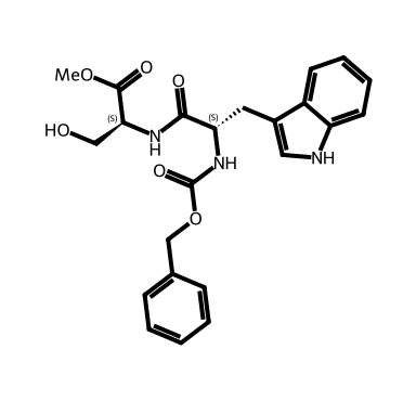 COC(=O)[C@H](CO)NC(=O)[C@H](Cc1c[nH]c2ccccc12)NC(=O)OCc1ccccc1